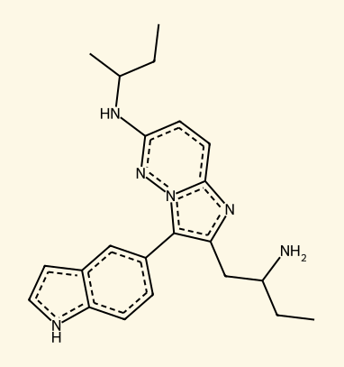 CCC(N)Cc1nc2ccc(NC(C)CC)nn2c1-c1ccc2[nH]ccc2c1